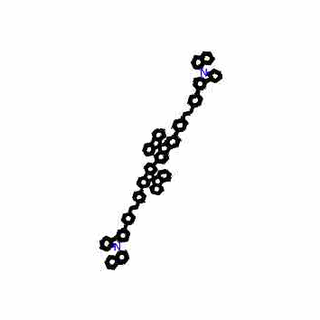 C(=C\c1ccc(-c2ccc3c(c2)c2ccccc2n3-c2cccc3ccccc23)cc1)/c1ccc(-c2ccc3c(c2)C2(c4ccccc4-c4ccccc42)c2cc(-c4ccc5c(c4)C4(c6ccccc6-c6ccccc64)c4cc(-c6ccc(/C=C/c7ccc(-c8ccc9c(c8)c8ccccc8n9-c8cccc9ccccc89)cc7)cc6)ccc4-5)ccc2-3)cc1